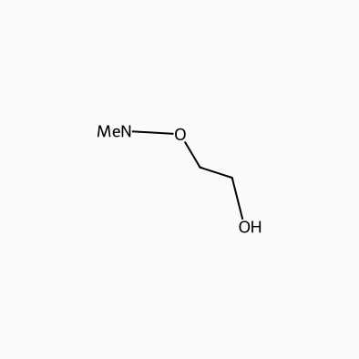 CNOCCO